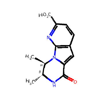 C[C@@H]1[C@@H](C)NC(=O)c2cc3ccc(C(=O)O)nc3n21